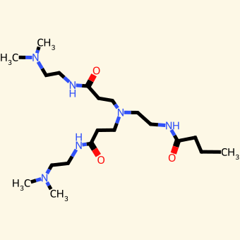 CCCC(=O)NCCN(CCC(=O)NCCN(C)C)CCC(=O)NCCN(C)C